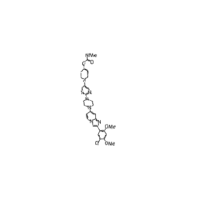 CNC(=O)OC1CCN(c2cnc(N3CCN(c4ccn5cc(-c6cc(Cl)c(OC)cc6OC)nc5c4)CC3)nc2)CC1